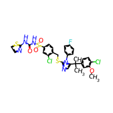 COc1cc(C(C)(C)c2cnc(SCc3ccc(S(=O)(=O)NC(=O)Nc4nccs4)cc3Cl)n2-c2ccc(F)cc2)ccc1Cl